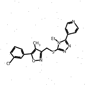 CCn1c(SCc2noc(-c3cccc(Cl)c3)c2C)nnc1-c1ccncc1